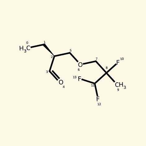 CC[C@H](C=O)COCC(C)(F)C(F)F